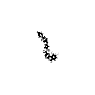 O=C(Nc1cnn(Cc2cnc(N3CC4CC4C3)nc2)c1)c1cncc(-c2c(C(F)F)ccc(Cl)c2F)n1